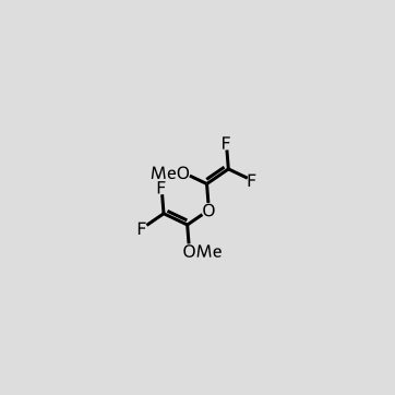 COC(OC(OC)=C(F)F)=C(F)F